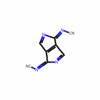 N#C/N=c1/ncc2c(=N\C#N)/ncc1=2